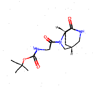 CC(C)(C)OC(=O)NCC(=O)N1C[C@H]2CNC(=O)[C@@H]1C2